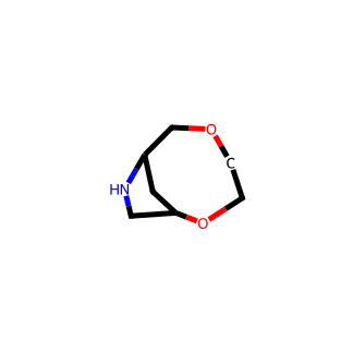 C1COC2CNC(CO1)C2